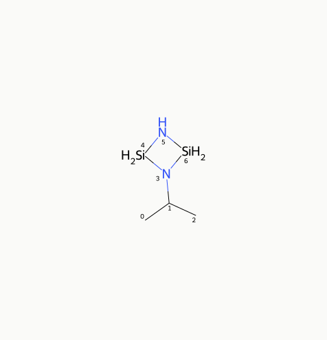 CC(C)N1[SiH2]N[SiH2]1